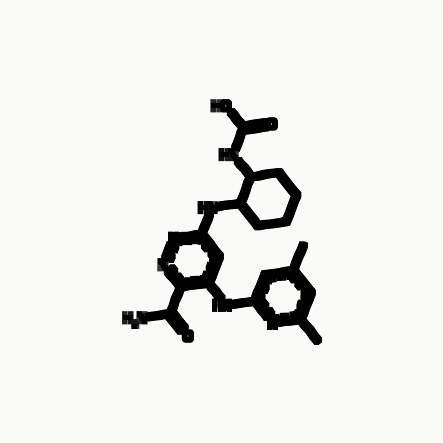 Cc1cc(C)nc(Nc2cc(NC3CCCCC3NC(=O)O)nnc2C(N)=O)c1